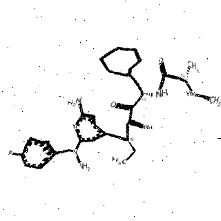 CC[C@H](C(=N)C(=O)[C@@H](NC(=O)[C@H](C)NC)C1CCCCC1)c1cc(N)nc(N(N)c2ccc(F)cc2)c1